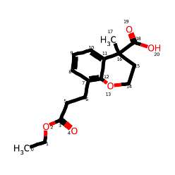 CCOC(=O)CCc1cccc2c1OCCC2(C)C(=O)O